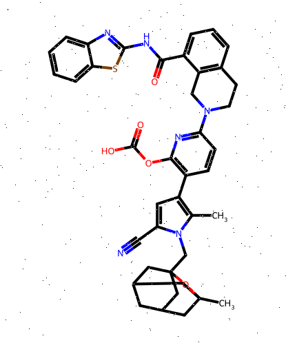 Cc1c(-c2ccc(N3CCc4cccc(C(=O)Nc5nc6ccccc6s5)c4C3)nc2OC(=O)O)cc(C#N)n1CC12CC3CC(CC(C)(C3)O1)C2